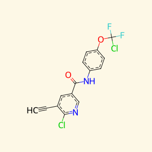 C#Cc1cc(C(=O)Nc2ccc(OC(F)(F)Cl)cc2)cnc1Cl